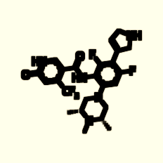 C[C@@H]1CN(c2cc(F)c(C3=CCNC3)c(F)c2NC(=O)c2c[nH]c(=O)cc2C(F)(F)F)C[C@H](C)N1C